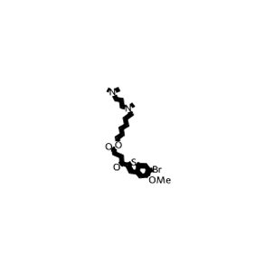 COc1cc2cc(C(=O)CCC(=O)OCCCCCCN(C)CCCN(C)C)sc2cc1Br